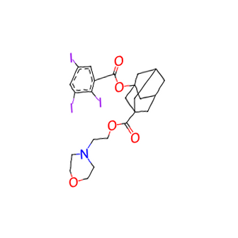 O=C(OC12CC3CC(C1)CC(C(=O)OCCN1CCOCC1)(C3)C2)c1cc(I)cc(I)c1I